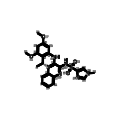 CCc1c(Nc2nc3ccccc3nc2NS(=O)(=O)c2cn(C)cn2)cc(OC)cc1OC